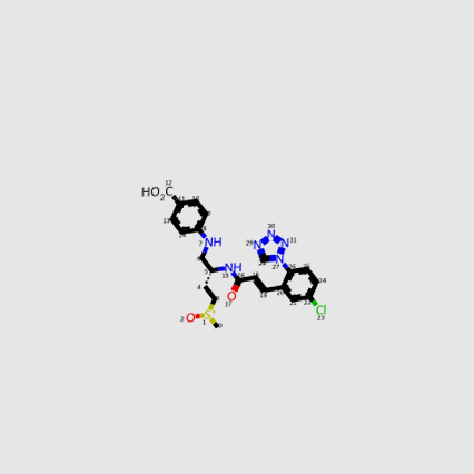 C[S+]([O-])CC[C@H](CNc1ccc(C(=O)O)cc1)NC(=O)/C=C/c1cc(Cl)ccc1-n1cnnn1